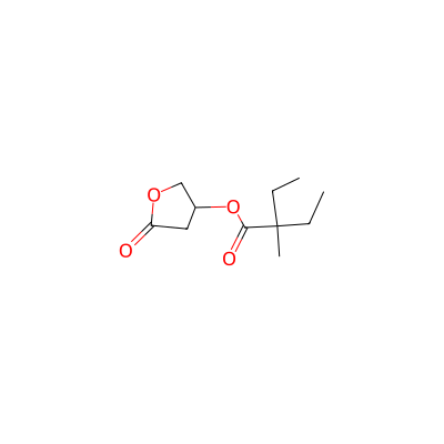 CCC(C)(CC)C(=O)OC1COC(=O)C1